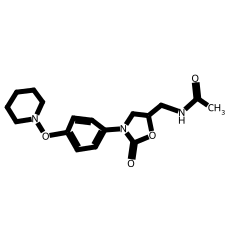 CC(=O)NCC1CN(c2ccc(ON3CCCCC3)cc2)C(=O)O1